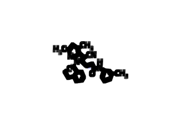 Cc1cccc(NC(=O)/C=C/c2c(C#N)c3c(C)cc(C)nc3n2[C@H]2CCCc3ccccc32)c1